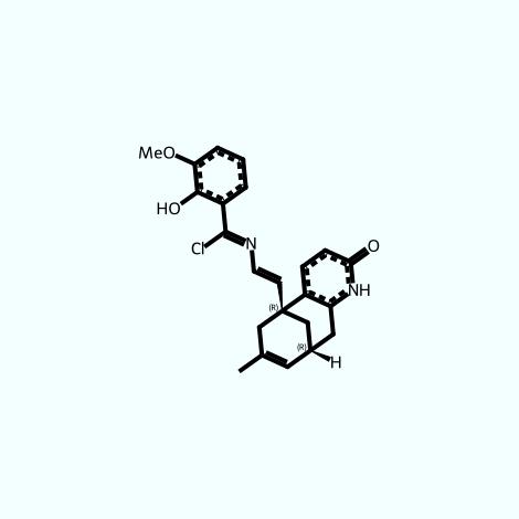 COc1cccc(C(Cl)=NC=C[C@@]23CC(C)=C[C@@H](Cc4[nH]c(=O)ccc42)C3)c1O